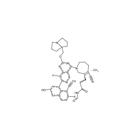 C#Cc1c(F)ccc2cc(O)cc(-c3ncc4c(N5CCC[C@@](C)(C#N)[C@@H](C=CC(=O)NC=O)C5)nc(OCC56CCCN5CCC6)nc4c3F)c12